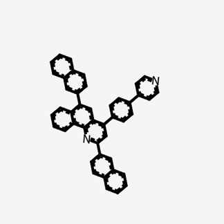 c1ccc2cc(-c3cc(-c4ccc(-c5ccncc5)cc4)c4cc(-c5ccc6ccccc6c5)c5ccccc5c4n3)ccc2c1